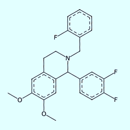 COc1cc2c(cc1OC)C(c1ccc(F)c(F)c1)N(Cc1ccccc1F)CC2